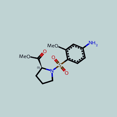 COC(=O)[C@@H]1CCCN1S(=O)(=O)c1ccc(N)cc1OC